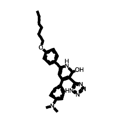 CCCCCCOc1ccc(C2=CC(c3ccc(N(C)C)cc3)=C(c3nnn[nH]3)C(O)N2)cc1